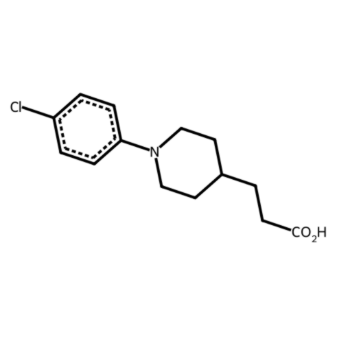 O=C(O)CCC1CCN(c2ccc(Cl)cc2)CC1